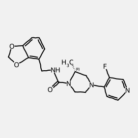 C[C@@H]1CN(c2ccncc2F)CCN1C(=O)NCc1cccc2c1OCO2